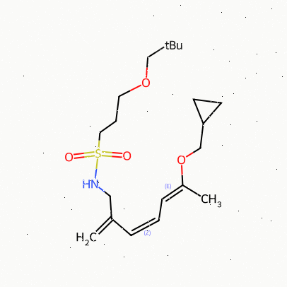 C=C(/C=C\C=C(/C)OCC1CC1)CNS(=O)(=O)CCCOCC(C)(C)C